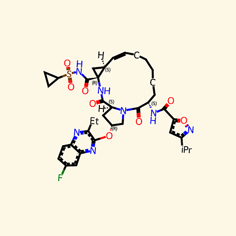 CCc1nc2ccc(F)cc2nc1O[C@@H]1C[C@H]2C(=O)N[C@]3(C(=O)NS(=O)(=O)C4CC4)C[C@H]3C=CCCCCC[C@H](NC(=O)c3cc(C(C)C)no3)C(=O)N2C1